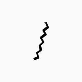 [CH2]C=CC=CCC=CCC=C